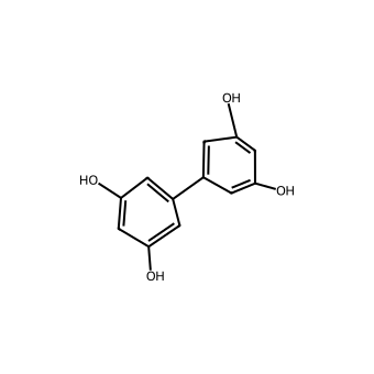 Oc1cc(O)cc(-c2cc(O)cc(O)c2)c1